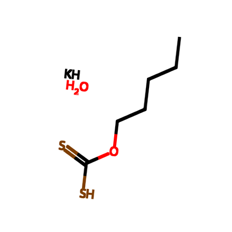 CCCCCOC(=S)S.O.[KH]